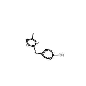 Cc1cnc(Sc2ccc(O)cc2)s1